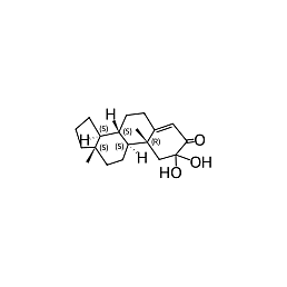 C[C@@]12CCC[C@H]1[C@@H]1CCC3=CC(=O)C(O)(O)C[C@]3(C)[C@H]1CC2